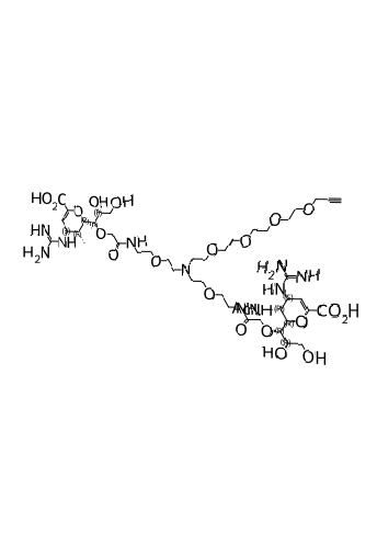 C#CCOCCOCCOCCOCCN(CCOCCNC(=O)CO[C@@H]([C@@H]1OC(C(=O)O)=C[C@H](NC(=N)N)[C@H]1C)[C@H](O)CO)CCOCCNC(=O)CO[C@@H]([C@@H]1OC(C(=O)O)=C[C@H](NC(=N)N)[C@H]1NC(C)=O)[C@H](O)CO